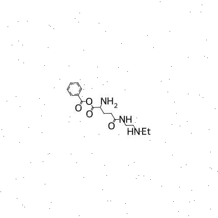 CCNCCNC(=O)CCC(N)C(=O)OC(=O)c1ccccc1